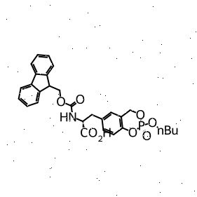 CCCCOP1(=O)OCc2cc(C[C@H](NC(=O)OCC3c4ccccc4-c4ccccc43)C(=O)O)ccc2O1